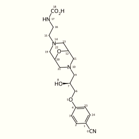 N#Cc1ccc(OC[C@@H](O)CN2CC3CN(CCNC(=O)O)CC(C2)O3)cc1